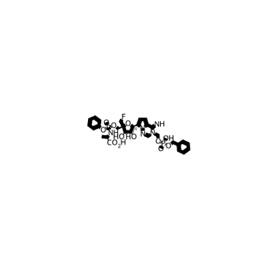 C[C@H](NP(=O)(OC[C@@]1(CF)O[C@@H](c2ccc3c(=N)n(COP(=O)(O)OCc4ccccc4)cnn23)[C@H](O)[C@@H]1O)Oc1ccccc1)C(=O)O